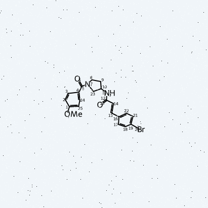 COc1ccc(C(=O)N2CCC(NC(=O)/C=C/c3ccc(Br)cc3)C2)cc1